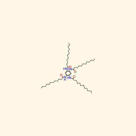 CCCCCCCCCCCC(=O)Nc1cc(NC(=O)CCCCCCCCCCC)c(NC(=O)CCCCCCCCCCC)cc1NC(=O)CCCCCCCCCCC